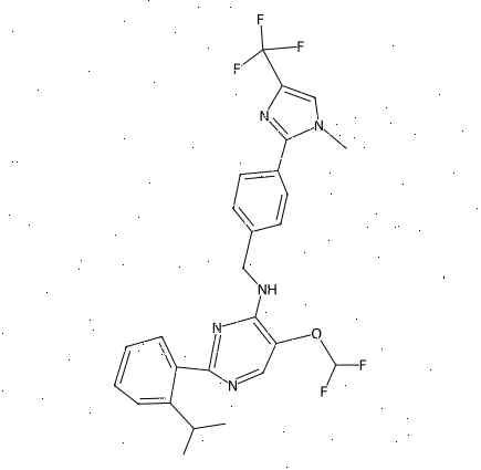 CC(C)c1ccccc1-c1ncc(OC(F)F)c(NCc2ccc(-c3nc(C(F)(F)F)cn3C)cc2)n1